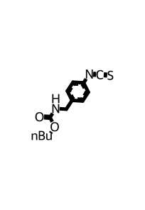 CCCCOC(=O)NCc1ccc(N=C=S)cc1